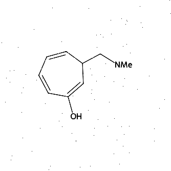 CNCC1C=CC=CC(O)=C1